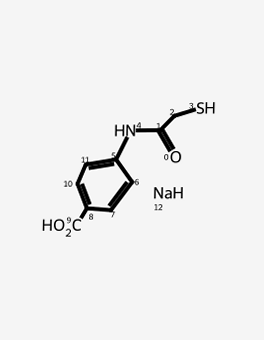 O=C(CS)Nc1ccc(C(=O)O)cc1.[NaH]